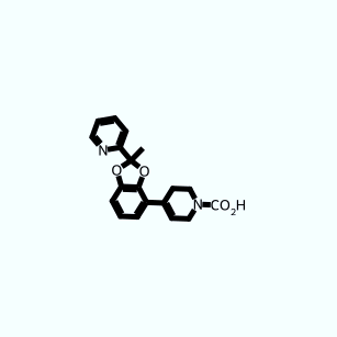 CC1(c2ccccn2)Oc2cccc(C3=CCN(C(=O)O)CC3)c2O1